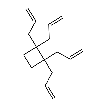 C=CCC1(CC=C)CCC1(CC=C)CC=C